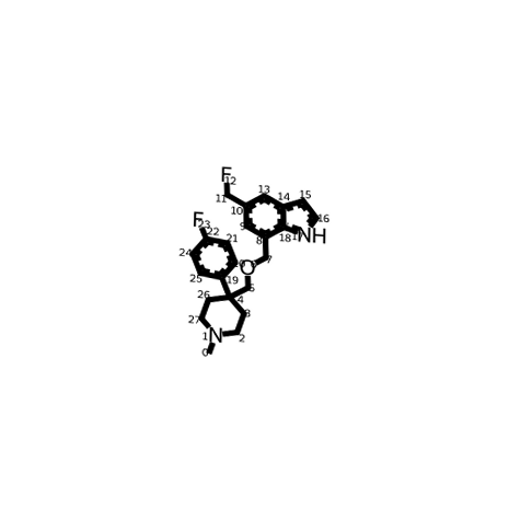 CN1CCC(COCc2cc(CF)cc3cc[nH]c23)(c2ccc(F)cc2)CC1